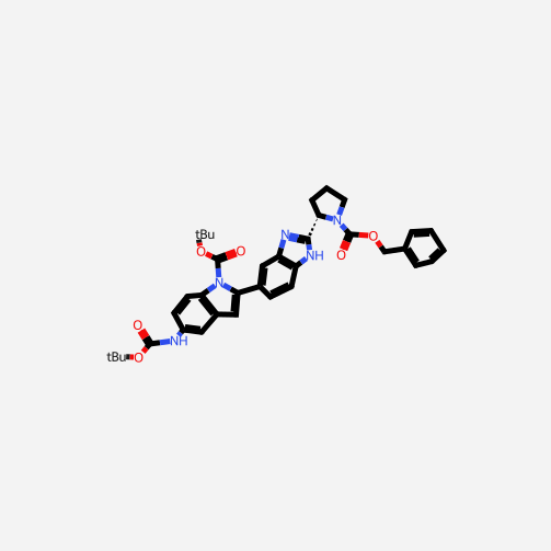 CC(C)(C)OC(=O)Nc1ccc2c(c1)cc(-c1ccc3[nH]c([C@@H]4CCCN4C(=O)OCc4ccccc4)nc3c1)n2C(=O)OC(C)(C)C